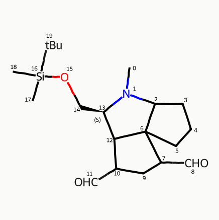 CN1C2CCCC23C(C=O)CC(C=O)C3[C@H]1CO[Si](C)(C)C(C)(C)C